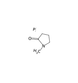 CN1CCCC1=O.[P]